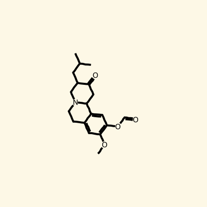 COc1cc2c(cc1OC=O)C1CC(=O)C(CC(C)C)CN1CC2